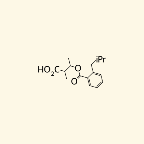 CC(C)Cc1ccccc1C(=O)OC(C)C(C)C(=O)O